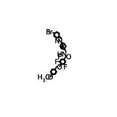 COc1ccc(COc2c(F)cc(C(=O)NCC34CCC(n5cc6ccc(Br)cc6n5)(CC3)CC4)c(F)c2F)cc1